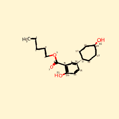 CCCCCOC(=O)c1cc([C@H]2CC[C@H](O)CC2)ccc1O